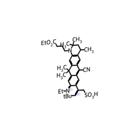 CC/N=C1\C=C2C(=C(C#N)c3cc4c(cc3C2(C)C)N(CCCC(=O)OCC)C(C)(C)CC4C)C=C1/C(=C\C(C)(C)C)CS(=O)(=O)O